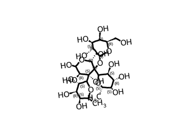 C[C@@H]1OC([C@@]2(O)[C@@H](O)C(O)O[C@H](CO)[C@]2(O[C@@H]2O[C@H](CO)[C@H](O)[C@H](O)[C@H]2O)C2O[C@@H](C)[C@@H](O)[C@@H](O)[C@@H]2O)[C@@H](O)[C@H](O)[C@@H]1O